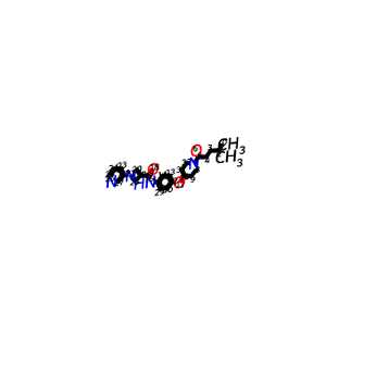 CC(C)CCC(=O)N1CCC(Oc2ccc(NC(=O)C3CN(c4cccnc4)C3)cc2)CC1